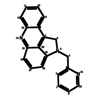 c1ccc(CN2Cc3c4ccccc4nc4cccc2c34)nc1